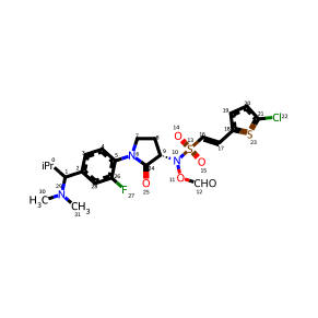 CC(C)C(c1ccc(N2CC[C@H](N(OC=O)S(=O)(=O)/C=C/c3ccc(Cl)s3)C2=O)c(F)c1)N(C)C